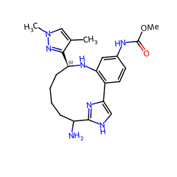 COC(=O)Nc1ccc2c(c1)N[C@H](c1nn(C)cc1C)CCCCC(N)c1nc-2c[nH]1